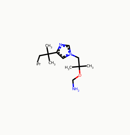 CC(C)CC(C)(C)c1cn(CC(C)(C)OCN)cn1